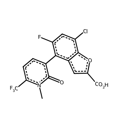 Cn1c(C(F)(F)F)ccc(-c2c(F)cc(Cl)c3oc(C(=O)O)cc23)c1=O